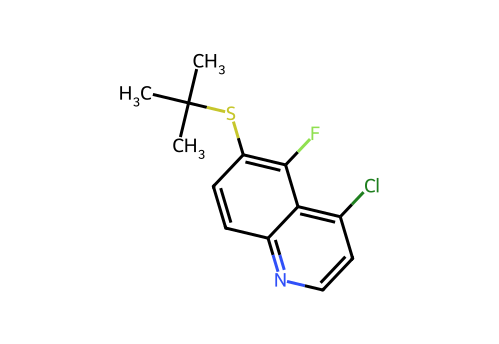 CC(C)(C)Sc1ccc2nccc(Cl)c2c1F